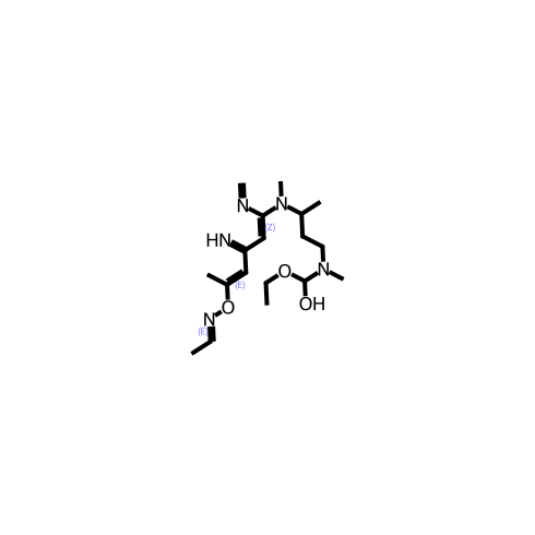 C=N/C(=C\C(=N)/C=C(\C)O/N=C/C)N(C)C(C)CCN(C)C(O)OCC